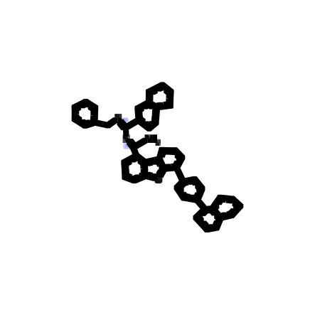 N/C(=N\C(=N/Cc1ccccc1)c1ccc2ccccc2c1)c1cccc2oc3c(-c4ccc(-c5cccc6ccccc56)cc4)cccc3c12